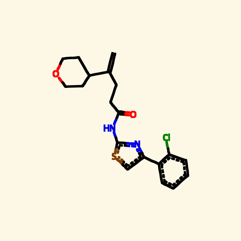 C=C(CCC(=O)Nc1nc(-c2ccccc2Cl)cs1)C1CCOCC1